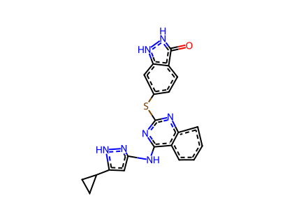 O=c1[nH][nH]c2cc(Sc3nc(Nc4cc(C5CC5)[nH]n4)c4ccccc4n3)ccc12